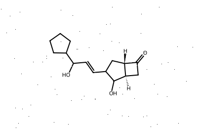 O=C1C[C@H]2C(O)C(C=CC(O)C3CCCC3)C[C@H]12